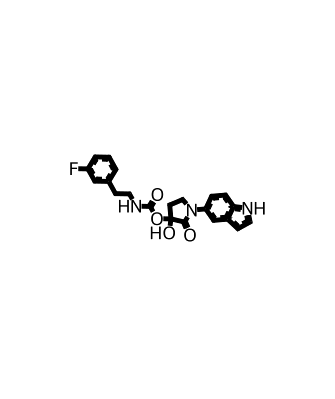 O=C(NCCc1cccc(F)c1)OC1(O)CCN(c2ccc3[nH]ccc3c2)C1=O